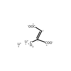 C/C(=C\C(=O)[O-])C(=O)[O-].[Li+].[Li+]